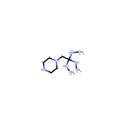 CNC(CN1CCNCC1)(NC)NC